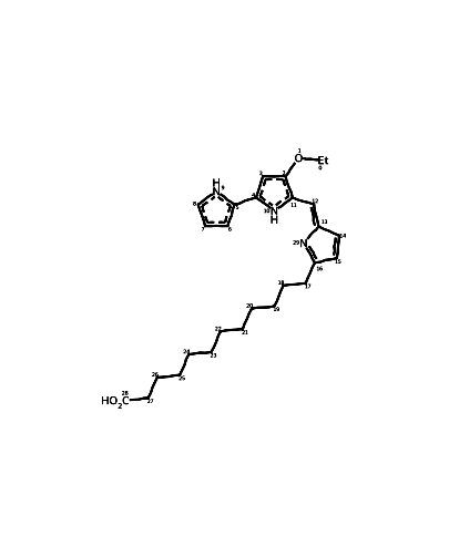 CCOc1cc(-c2ccc[nH]2)[nH]c1C=C1C=CC(CCCCCCCCCCCC(=O)O)=N1